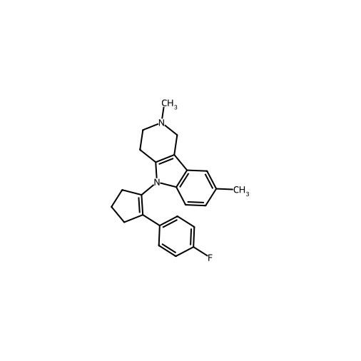 Cc1ccc2c(c1)c1c(n2C2=C(c3ccc(F)cc3)CCC2)CCN(C)C1